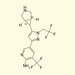 Nc1ncc(-c2cc(C3[C@H]4CNC[C@@H]34)n(CC(F)(F)F)n2)cc1C(F)(F)F